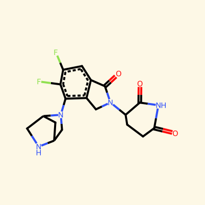 O=C1CCC(N2Cc3c(cc(F)c(F)c3N3CC4CC3CN4)C2=O)C(=O)N1